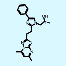 Cc1cc(C)n2nc(CCc3nc(-c4ccccc4)cn3C[C@H](C)O)nc2n1